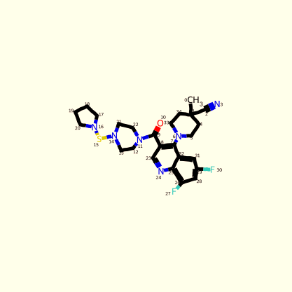 CC1(C#N)CCN(c2c(C(=O)N3CCN(SN4CCCC4)CC3)cnc3c(F)cc(F)cc23)CC1